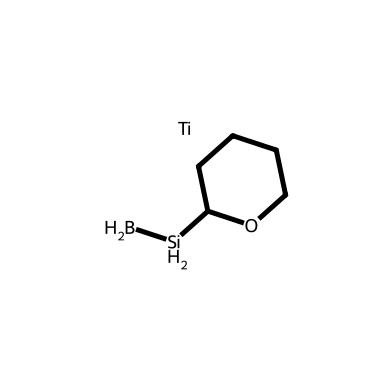 B[SiH2]C1CCCCO1.[Ti]